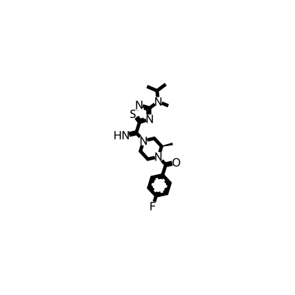 CC(C)N(C)c1nsc(C(=N)N2CCN(C(=O)c3ccc(F)cc3)[C@H](C)C2)n1